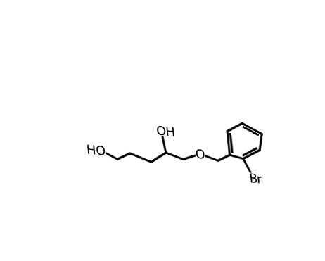 OCCCC(O)COCc1ccccc1Br